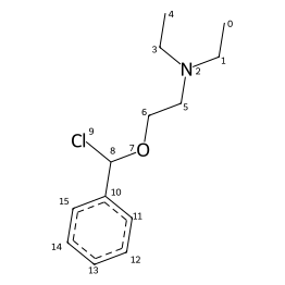 CCN(CC)CCOC(Cl)c1ccccc1